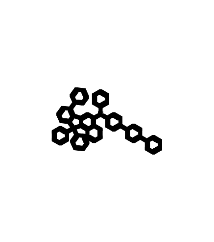 c1ccc(-c2ccc(-c3ccc(N(c4ccccc4)c4cc5c(c6ccccc46)C(c4ccccc4)(c4ccccc4)c4cccc(-c6ccccc6)c4-5)cc3)cc2)cc1